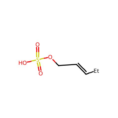 CCC=CCOS(=O)(=O)O